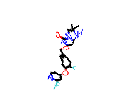 CC1(C)Cn2c(cc(OCc3ccc(Oc4ccnc(F)c4)c(F)c3)nc2=O)N1